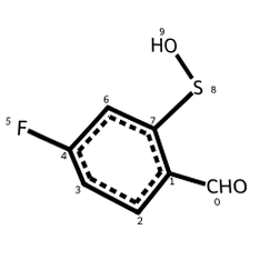 O=Cc1ccc(F)cc1SO